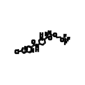 O=C(N[C@H]1CC[C@H](c2nnc(OCCOC(F)(F)F)o2)NC1)c1cn2cc(Cl)cc2cn1